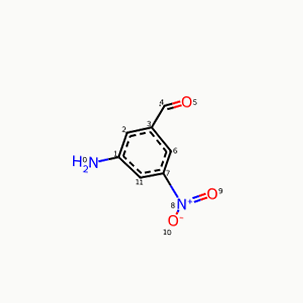 Nc1cc([C]=O)cc([N+](=O)[O-])c1